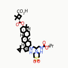 CC(C)OC(=O)NCC(CN[C@]12CC[C@@H](C3(C)CC3)[C@@H]1[C@H]1CC[C@@H]3[C@@]4(C)CC[C@H](OC(=O)[C@H]5C[C@@H](C(=O)O)C5(C)C)C(C)(C)[C@@H]4CC[C@@]3(C)[C@]1(C)CC2)N1CCS(=O)(=O)CC1